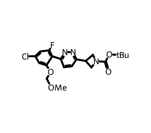 COCOc1cc(Cl)cc(F)c1-c1ccc(C2CN(C(=O)OC(C)(C)C)C2)nn1